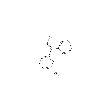 Cc1cccc(C(=NO)c2ccccc2)c1